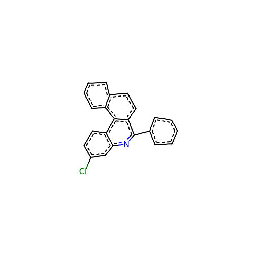 Clc1ccc2c(c1)nc(-c1ccccc1)c1ccc3ccccc3c12